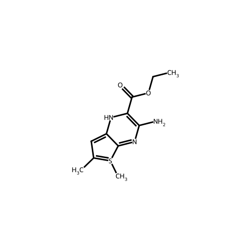 CCOC(=O)C1=C(N)N=C2C(=CC(C)=S2C)N1